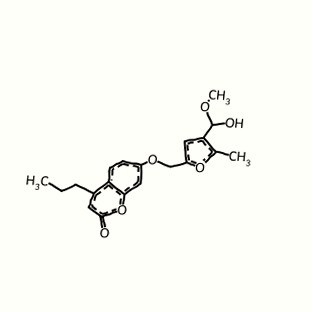 CCCc1cc(=O)oc2cc(OCc3cc(C(O)OC)c(C)o3)ccc12